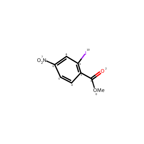 COC(=O)c1ccc([N+](=O)[O-])cc1I